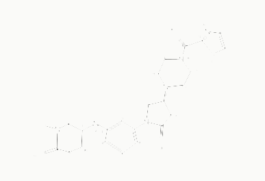 CN1CC(Nc2cccc(N3CC(N4CCN(C(=O)c5nccs5)CC4)CC3=O)c2)CCC1=O